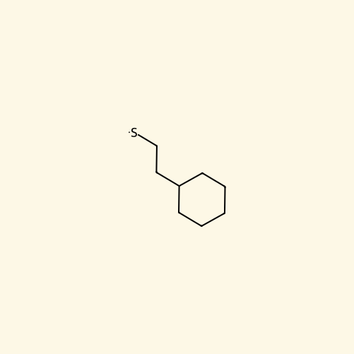 [S]CCC1CCCCC1